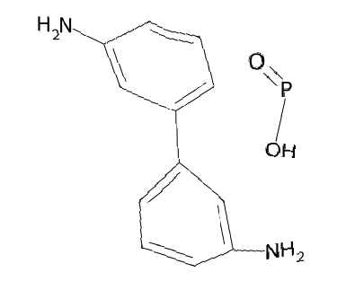 Nc1cccc(-c2cccc(N)c2)c1.O=PO